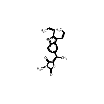 C/C=C\c1[nH]c2ccc(/C(C)=C3/OC(=O)N(C)C3=O)cc2c1/C=C\C